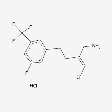 Cl.NC/C(=C/Cl)CCc1cc(F)cc(C(F)(F)F)c1